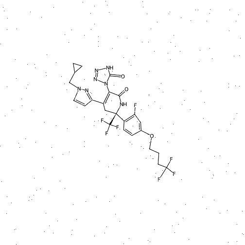 O=C1N[C@@](c2ccc(OCCCC(F)(F)F)cc2F)(C(F)(F)F)CC(c2ccn(CC3CC3)n2)=C1n1nn[nH]c1=O